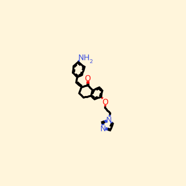 Nc1ccc(C=C2CCc3cc(OCCn4ccnc4)ccc3C2=O)cc1